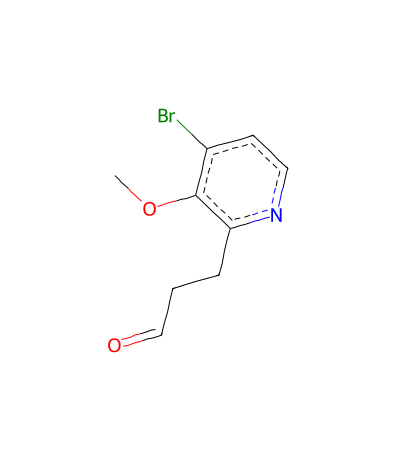 COc1c(Br)ccnc1CCC=O